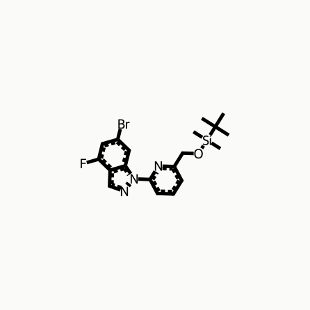 CC(C)(C)[Si](C)(C)OCc1cccc(-n2ncc3c(F)cc(Br)cc32)n1